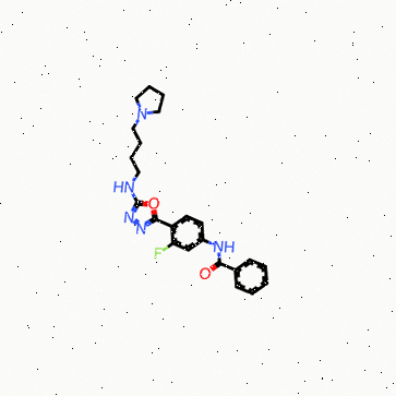 O=C(Nc1ccc(-c2nnc(NCCCCN3CCCC3)o2)c(F)c1)c1ccccc1